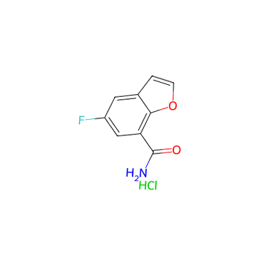 Cl.NC(=O)c1cc(F)cc2ccoc12